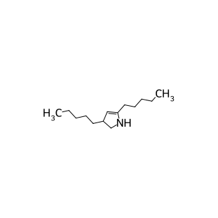 CCCCCC1=CC(CCCCC)CN1